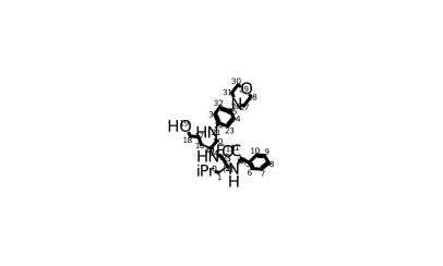 CC(C)C[C@H](N[C@@H](c1ccccc1)C(F)(F)F)C(=O)N[C@@H](CCCO)CNc1ccc(N2CCOCC2)cc1